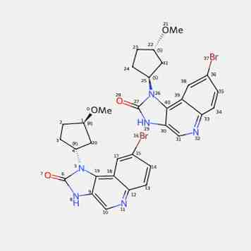 CO[C@@H]1CC[C@@H](n2c(=O)[nH]c3cnc4ccc(Br)cc4c32)C1.CO[C@H]1CC[C@H](n2c(=O)[nH]c3cnc4ccc(Br)cc4c32)C1